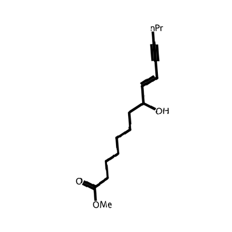 CCCC#C/C=C/C(O)CCCCCCC(=O)OC